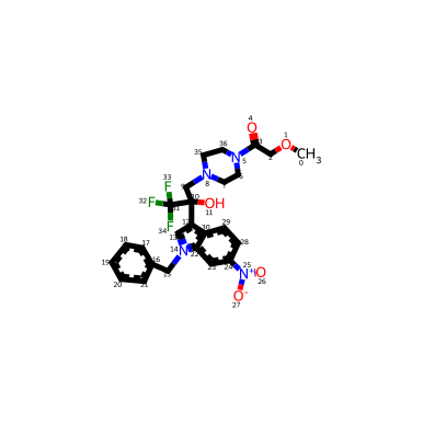 COCC(=O)N1CCN(CC(O)(c2cn(Cc3ccccc3)c3cc([N+](=O)[O-])ccc23)C(F)(F)F)CC1